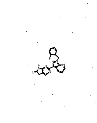 O=C1Cc2cnc(-c3nn(Cc4ccccc4F)c4ncccc34)nc2N1